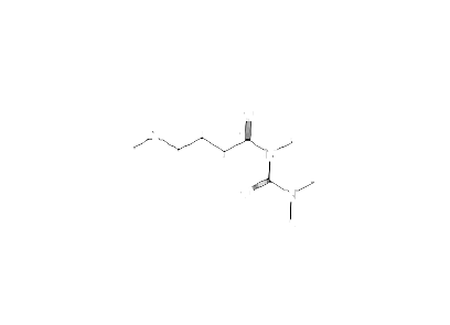 CNCCCC(=O)N(C)C(=O)N(C)C